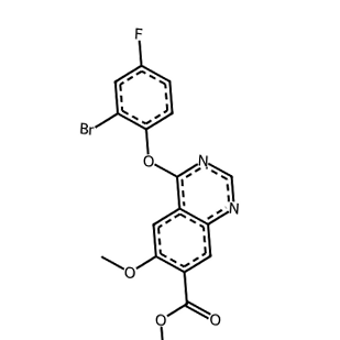 COC(=O)c1cc2ncnc(Oc3ccc(F)cc3Br)c2cc1OC